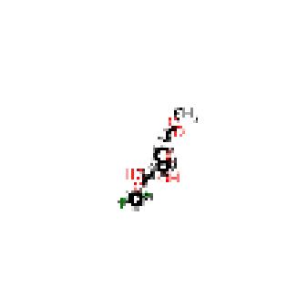 CCOC(=O)CCC[C@H]1CC[C@@H]2[C@@H](C=C[C@@H](O)COc3cc(F)ccc3F)[C@H](O)C[C@@H]2OC1